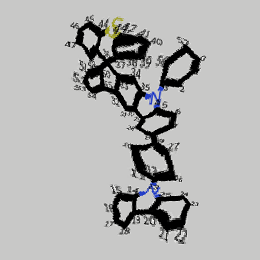 c1ccc(-n2c3ccc(-c4ccc(-n5c6ccccc6c6ccccc65)cc4)cc3c3cc4c(cc32)C2(c3ccccc3Sc3ccccc32)c2ccccc2-4)cc1